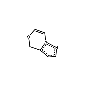 [c]1cc2n(n1)C=COC2